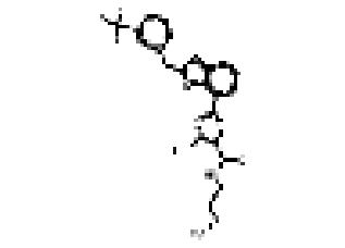 COCCNC(=O)c1sc(-c2cccc3cc(Cc4cccc(C(F)(F)F)c4)sc23)nc1C